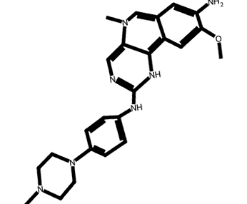 COc1cc2c(cc1N)=CN(C)C1=CN=C(Nc3ccc(N4CCN(C)CC4)cc3)NC=21